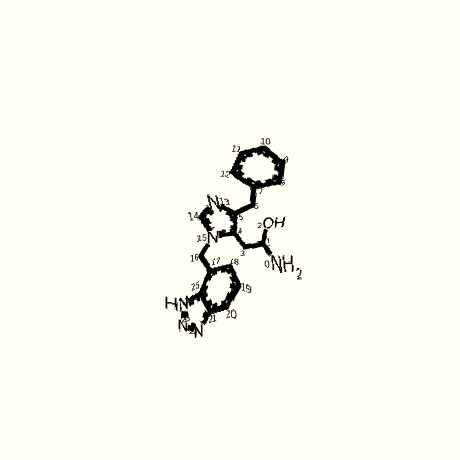 NC(O)Cc1c(Cc2ccccc2)ncn1Cc1cccc2nn[nH]c12